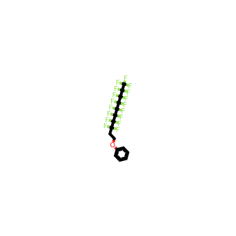 FC(F)(F)C(F)(F)C(F)(F)C(F)(F)C(F)(F)C(F)(F)C(F)(F)C(F)(F)CCOc1ccccc1